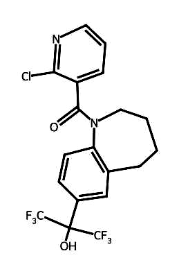 O=C(c1cccnc1Cl)N1CCCCc2cc(C(O)(C(F)(F)F)C(F)(F)F)ccc21